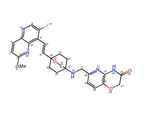 COc1ccc2ncc(F)c(C=CC34CCC(NCc5ccc6c(n5)NC(=O)CO6)(CC3)CO4)c2n1